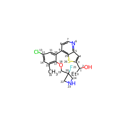 CCC(O)c1cc2nccc(-c3cc(Cl)cc(C)c3OCC3(F)CNC3)c2s1